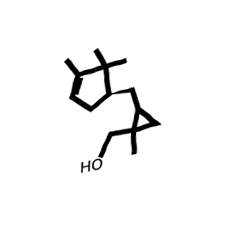 CC1=CC[C@H](CC2CC2(C)CO)C1(C)C